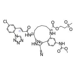 COC(=O)Nc1ccc2c(c1)N[C@@H](C(=O)OCCS(C)(=O)=O)CCCC[C@H](NC(=O)/C=C/c1cc(Cl)ccc1-n1cnnn1)c1nc-2c(C#N)[nH]1